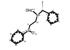 C[C@H](c1ccccc1)N(C=O)CC[S+]([O-])c1ccccc1